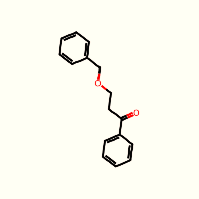 O=C(CCOCc1ccccc1)c1ccccc1